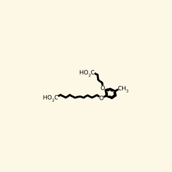 Cc1ccc(OCCCCCCCCCC(=O)O)c(OCCCC(=O)O)c1